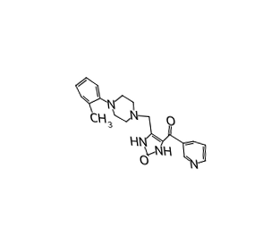 Cc1ccccc1N1CCN(Cc2[nH]c(=O)[nH]c2C(=O)c2cccnc2)CC1